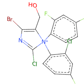 OCC1=C(Br)N=C(Cl)[N+]1(c1ccc(F)cc1F)c1ccc(F)cc1Cl